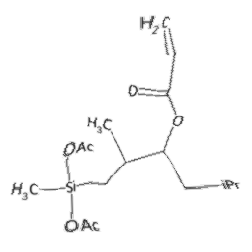 C=CC(=O)OC(CC(C)C)C(C)C[Si](C)(OC(C)=O)OC(C)=O